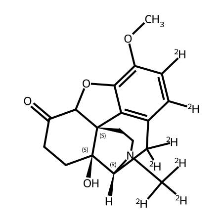 [2H]c1c([2H])c2c3c(c1OC)OC1C(=O)CC[C@@]4(O)[C@H](N(C([2H])([2H])[2H])CC[C@]314)C2([2H])[2H]